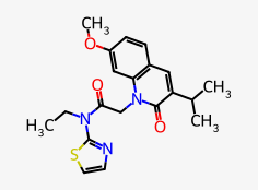 CCN(C(=O)Cn1c(=O)c(C(C)C)cc2ccc(OC)cc21)c1nccs1